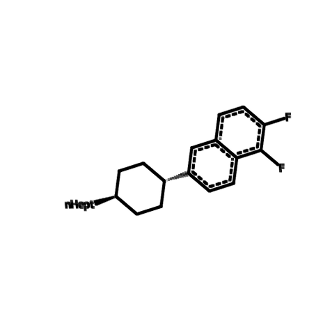 CCCCCCC[C@H]1CC[C@H](c2ccc3c(F)c(F)ccc3c2)CC1